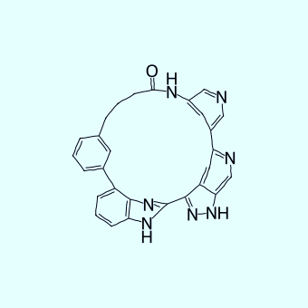 O=C1CCCc2cccc(c2)-c2cccc3[nH]c(nc23)-c2n[nH]c3cnc(cc23)-c2cncc(c2)N1